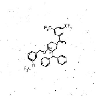 O=C(c1cc(C(F)(F)F)cc(C(F)(F)F)c1)N1CC[C@H](OCc2cccc(OC(F)(F)F)c2)[C@H](C(c2ccccc2)c2ccccc2)C1